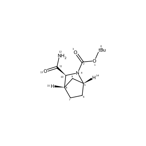 CC(C)(C)OC(=O)N1[C@@H]2CC[C@@H](C2)[C@H]1C(N)=O